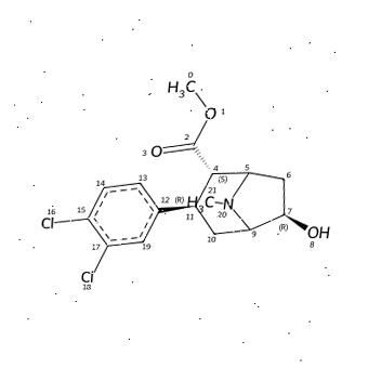 COC(=O)[C@@H]1C2C[C@@H](O)C(C[C@H]1c1ccc(Cl)c(Cl)c1)N2C